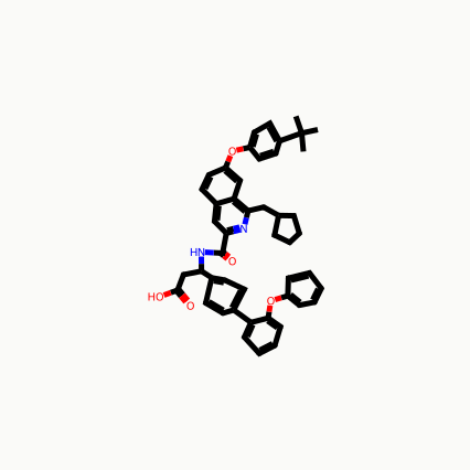 CC(C)(C)c1ccc(Oc2ccc3cc(C(=O)NC(CC(=O)O)c4ccc(-c5ccccc5Oc5ccccc5)cc4)nc(CC4CCCC4)c3c2)cc1